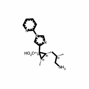 C[C@H](CN)C[C@@H]1[C@H](C)[C@@]1(C(=O)O)c1cn(-c2ccccn2)cn1